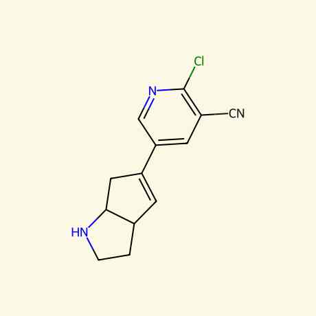 N#Cc1cc(C2=CC3CCNC3C2)cnc1Cl